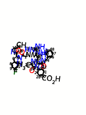 CNCC(=O)N[C@@H](Cc1ccc(F)cc1)c1ncc(C)o1.C[C@H](N)C(=O)N(C1CCC(C(=O)O)CC1)[C@@H](CCCNC(=N)N)C(=O)NCc1ccccc1